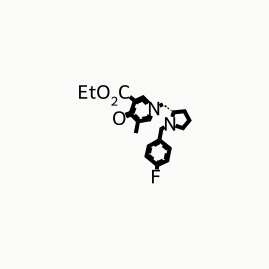 CCOC(=O)c1cn(C[C@@H]2CCCN2Cc2ccc(F)cc2)cc(C)c1=O